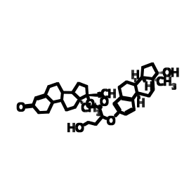 C#C[C@]1(OC(=O)C(CCO)Oc2ccc3c(c2)CC[C@@H]2[C@@H]3CC[C@]3(C)[C@@H](O)CC[C@@H]23)CCC2C3CCC4=CC(=O)CCC4C3CC[C@@]21C